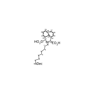 CCCCCCCCCCCCCCCCCCN(CC(=O)O)C(C(=O)O)c1cccc2ccccc12